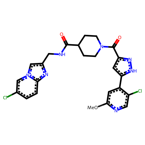 COc1cc(-c2cc(C(=O)N3CCC(C(=O)NCc4cn5cc(Cl)ccc5n4)CC3)n[nH]2)c(Cl)cn1